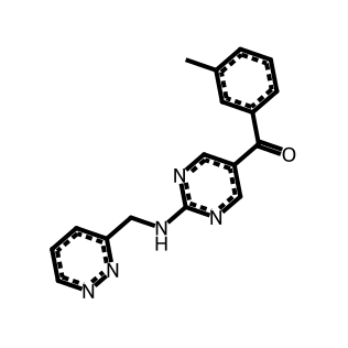 Cc1cccc(C(=O)c2cnc(NCc3cccnn3)nc2)c1